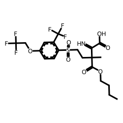 CCCCOC(=O)C(C)(CCS(=O)(=O)c1ccc(OCC(F)(F)F)cc1C(F)(F)F)C(=N)C(=O)O